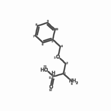 NC(COCc1ccccc1)[PH](=O)O